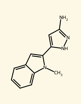 Cn1c(-c2cc(N)n[nH]2)cc2ccccc21